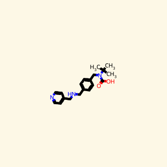 CC(C)(C)N(Cc1ccc(CNCc2ccncc2)cc1)C(=O)O